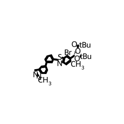 Cc1cc2nc(-c3cccc(-c4ccc5c(cnn5C)c4)c3)sc2c(Br)c1[C@H](COC(=O)C(C)(C)C)OC(C)(C)C